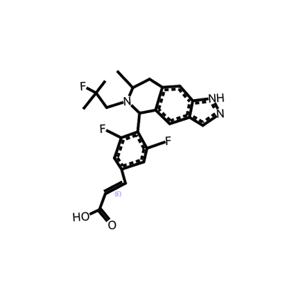 CC1Cc2cc3[nH]ncc3cc2C(c2c(F)cc(/C=C/C(=O)O)cc2F)N1CC(C)(C)F